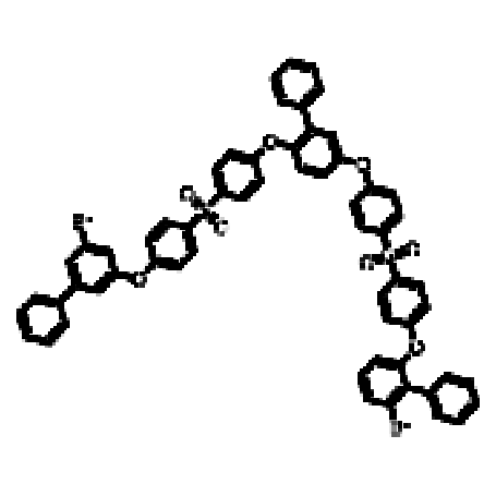 O=S(=O)(c1ccc(Oc2cc(Br)cc(-c3ccccc3)c2)cc1)c1ccc(Oc2ccc(Oc3ccc(S(=O)(=O)c4ccc(Oc5cccc(Br)c5-c5ccccc5)cc4)cc3)cc2-c2ccccc2)cc1